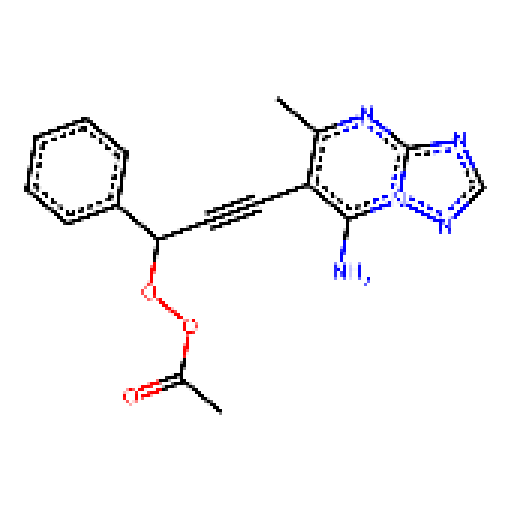 CC(=O)OOC(C#Cc1c(C)nc2ncnn2c1N)c1ccccc1